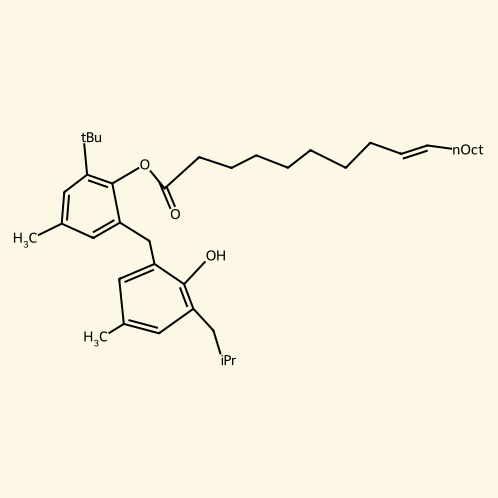 CCCCCCCCC=CCCCCCCCC(=O)Oc1c(Cc2cc(C)cc(CC(C)C)c2O)cc(C)cc1C(C)(C)C